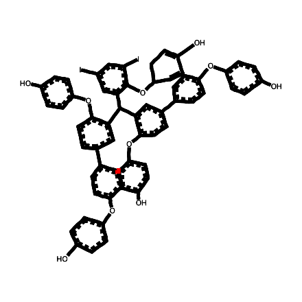 OC1=CCC(Oc2c(I)cc(I)cc2C(c2cc(-c3ccc(Oc4ccc(O)cc4)cc3)ccc2Oc2ccc(O)cc2)c2cc(-c3ccc(Oc4ccc(O)cc4)cc3)ccc2Oc2ccc(O)cc2)C=C1